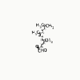 CC(C)=CCCC(C)=CCCC(C)=CCCC(=O)C=O